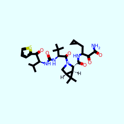 CC(C)[C@H](NC(=O)N[C@H](C(=O)N1C[C@H]2[C@@H]([C@H]1C(=O)NC(CC1CC1)C(=O)C(N)=O)C2(C)C)C(C)(C)C)C(=O)c1cccs1